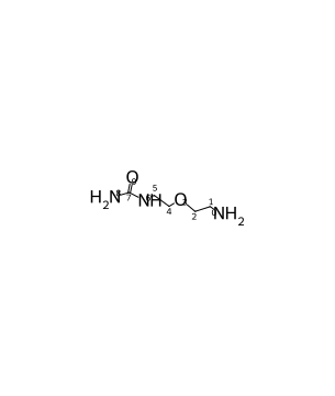 NCCOCCNC(N)=O